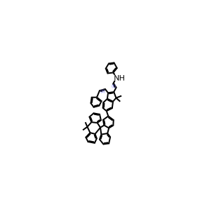 CC1(C)C(/C=C/Nc2ccccc2)=C(/C=C\c2ccccc2)c2ccc(-c3ccc4c(c3)C3(c5ccccc5-4)c4ccccc4C(C)(C)c4ccccc43)cc21